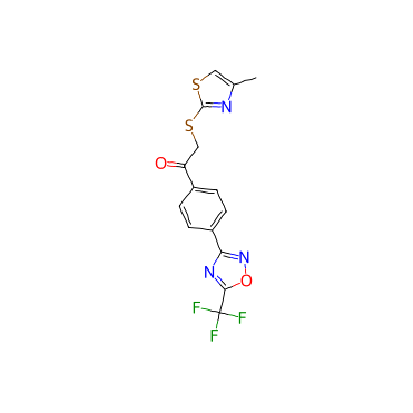 Cc1csc(SCC(=O)c2ccc(-c3noc(C(F)(F)F)n3)cc2)n1